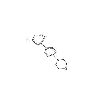 Fc1c[c]cc(-c2ccc(N3CCOCC3)cc2)c1